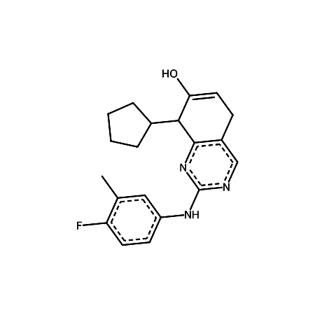 Cc1cc(Nc2ncc3c(n2)C(C2CCCC2)C(O)=CC3)ccc1F